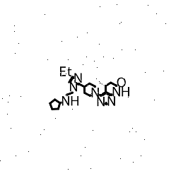 CCc1cn(CCNC2CCCC2)c(C2CCN(c3ncnc4c3[C@H](C)CC(=O)N4)CC2)n1